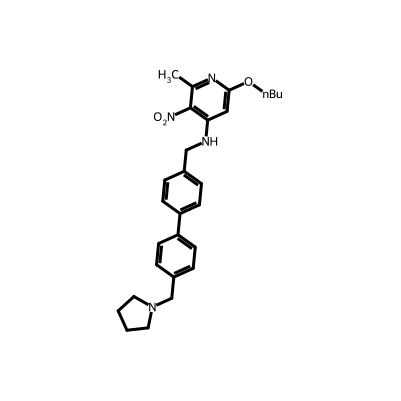 CCCCOc1cc(NCc2ccc(-c3ccc(CN4CCCC4)cc3)cc2)c([N+](=O)[O-])c(C)n1